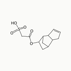 O=C(CS(=O)(=O)O)OC1CC2CC1C1C=CCC21